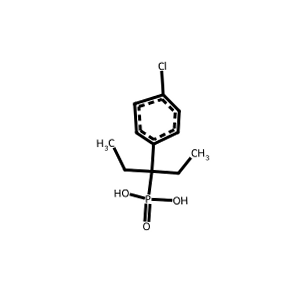 CCC(CC)(c1ccc(Cl)cc1)P(=O)(O)O